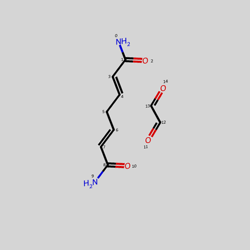 NC(=O)C=CCC=CC(N)=O.O=CC=O